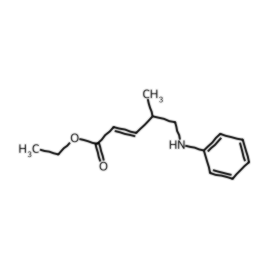 CCOC(=O)C=CC(C)CNc1ccccc1